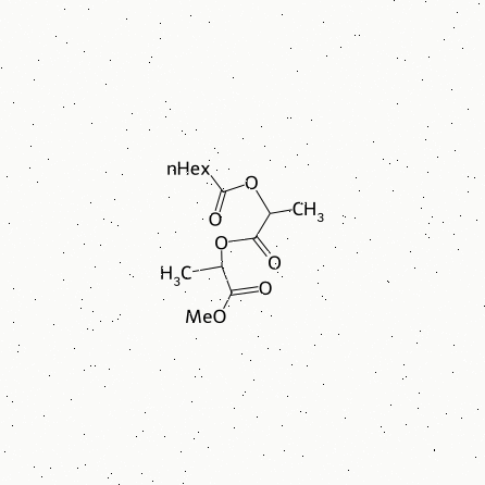 CCCCCCC(=O)OC(C)C(=O)OC(C)C(=O)OC